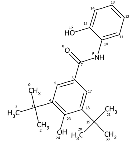 CC(C)(C)c1cc(C(=O)Nc2ccccc2O)cc(C(C)(C)C)c1O